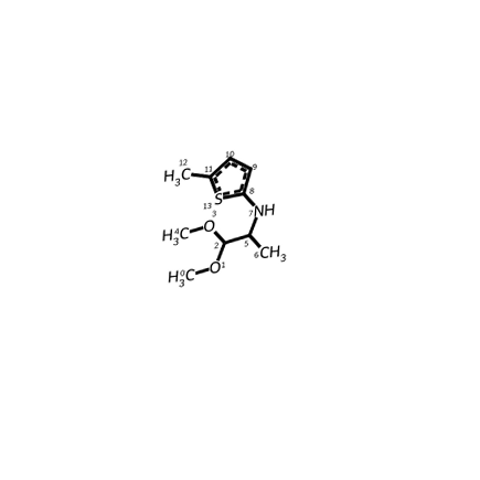 COC(OC)C(C)Nc1ccc(C)s1